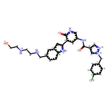 O=C(Nc1c[nH]c(=O)c(-c2cc3cc(CNCCNCCO)ccc3[nH]2)c1)c1cnn(Cc2ccc(Cl)cc2)c1